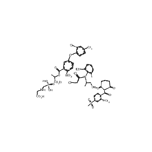 CCOC(=O)C(C)OC(=O)c1cc(Oc2ccc(C(F)(F)F)cc2Cl)ccc1[N+](=O)[O-].CCc1cccc(C)c1N(C(=O)CCl)C(C)COC.CS(=O)(=O)c1ccc(C(=O)C2C(=O)CCCC2=O)c([N+](=O)[O-])c1.O=C(O)CNCP(=O)(O)O